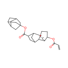 C=CC(=O)OC1CCC23CCC1C2C1CC(C(=O)OC24CC5CC(C2)C(C5)C4)C3C1